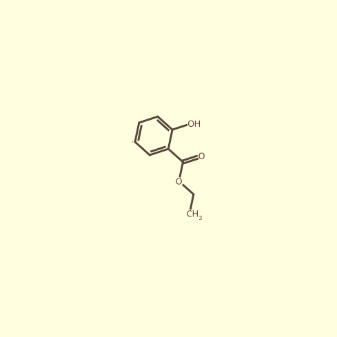 CCOC(=O)c1c[c]ccc1O